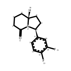 O=C1CCC[C@@H]2CC[C@@H](c3ccc(F)c(F)c3)N12